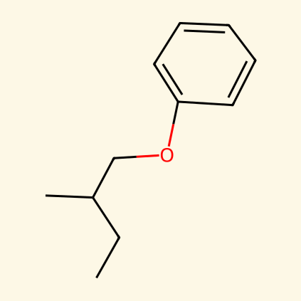 CCC(C)COc1ccccc1